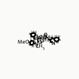 COc1ccc(N(C)C(=O)[C@H](Cc2ccccc2)NC(=O)NS(=O)(=O)NCc2cnc3ccccc3c2)cc1